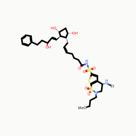 CCN[C@@H]1CN(CCCOC)S(=O)(=O)c2sc(S(=O)(=O)NC(=O)CCC/C=C\C[C@@H]3[C@@H](/C=C/[C@@H](O)CCc4ccccc4)[C@H](O)C[C@@H]3O)cc21